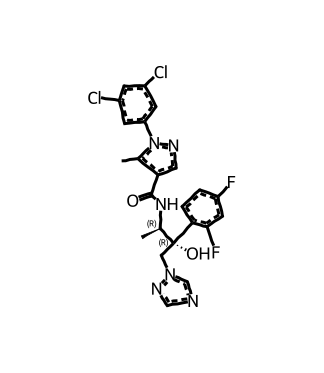 Cc1c(C(=O)N[C@H](C)[C@](O)(Cn2cncn2)c2ccc(F)cc2F)cnn1-c1cc(Cl)cc(Cl)c1